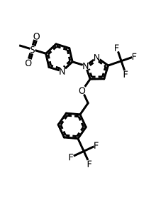 CS(=O)(=O)c1ccc(-n2nc(C(F)(F)F)cc2OCc2cccc(C(F)(F)F)c2)nc1